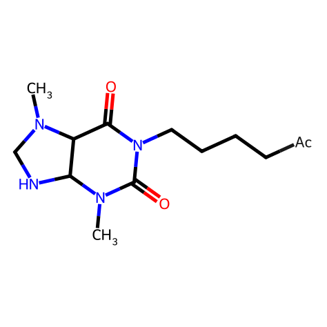 CC(=O)CCCCN1C(=O)C2C(NCN2C)N(C)C1=O